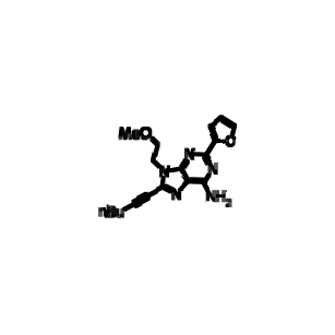 CCCCC#Cc1nc2c(N)nc(-c3ccco3)nc2n1CCOC